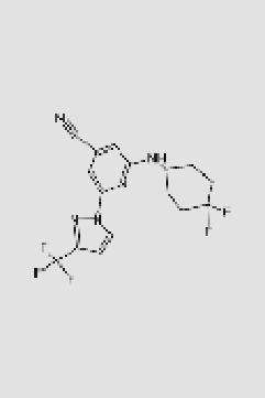 N#Cc1cc(NC2CCC(F)(F)CC2)nc(-n2ccc(C(F)(F)F)n2)c1